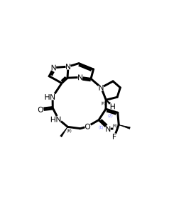 C/N=C1/OC[C@@H](C)NC(=O)Nc2cnn3ccc(nc23)N2CCC[C@@H]2/C1=C/[C@@H](C)F